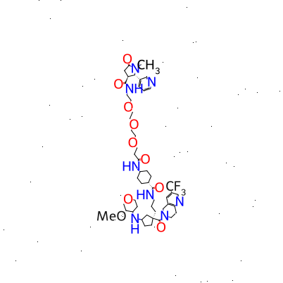 CO[C@@H]1COCC[C@@H]1N[C@@H]1CC[C@](CCCNC(=O)[C@H]2CC[C@@H](NC(=O)CCOCCOCCOCCNC(=O)[C@H]3CC(=O)N(C)[C@@H]3c3cccnc3)CC2)(C(=O)N2CCc3ncc(C(F)(F)F)cc3C2)C1